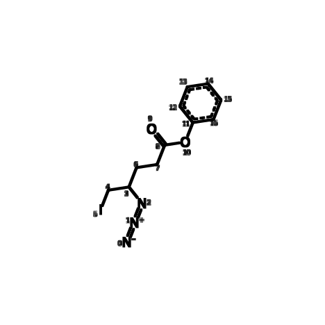 [N-]=[N+]=NC(CI)CCC(=O)Oc1ccccc1